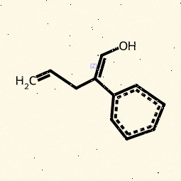 C=CC/C(=[C]/O)c1ccccc1